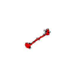 C=C[C@]1(O)CC[C@H]2[C@@H]3CCC4=CC(=O)CCC4=C3[C@@H](c3ccc(N(C)CCOCCOCCOCCOCC(=O)NCCCOCCOCCOCCCNc4cccc5c4C(=O)N(C4CCC(=O)NC4=O)C5=O)cc3)C[C@@]21C